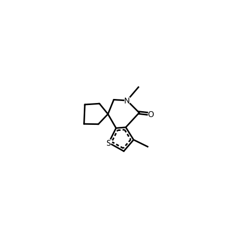 Cc1csc2c1C(=O)N(C)CC21CCCC1